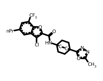 CCCc1cc(C(F)(F)F)c2oc(C(=O)NC34CCC(c5nnc(C)o5)(CC3)CC4)c(Cl)c2c1